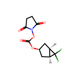 O=C(O[C@H]1C[C@@H]2[C@H](C1)C2(F)F)ON1C(=O)CCC1=O